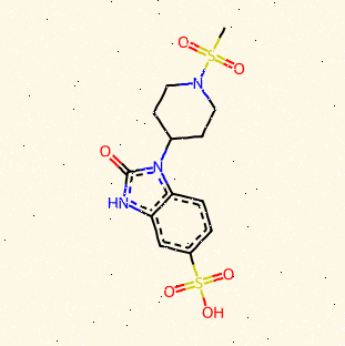 CS(=O)(=O)N1CCC(n2c(=O)[nH]c3cc(S(=O)(=O)O)ccc32)CC1